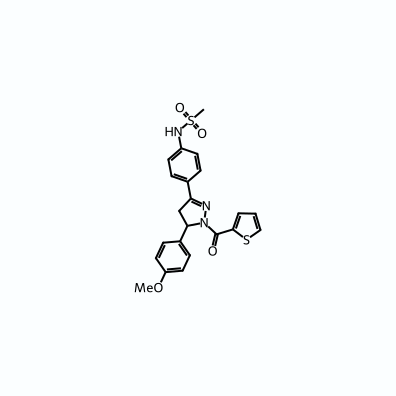 COc1ccc(C2CC(c3ccc(NS(C)(=O)=O)cc3)=NN2C(=O)c2cccs2)cc1